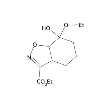 CCOC(=O)C1=NOC2C1CCCC2(O)OCC